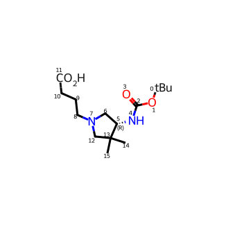 CC(C)(C)OC(=O)N[C@H]1CN(CCCC(=O)O)CC1(C)C